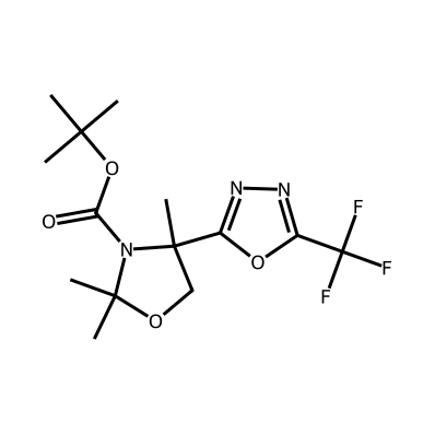 CC(C)(C)OC(=O)N1C(C)(C)OCC1(C)c1nnc(C(F)(F)F)o1